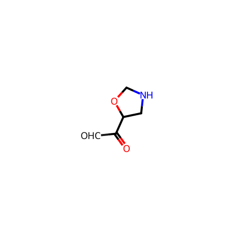 O=CC(=O)C1CNCO1